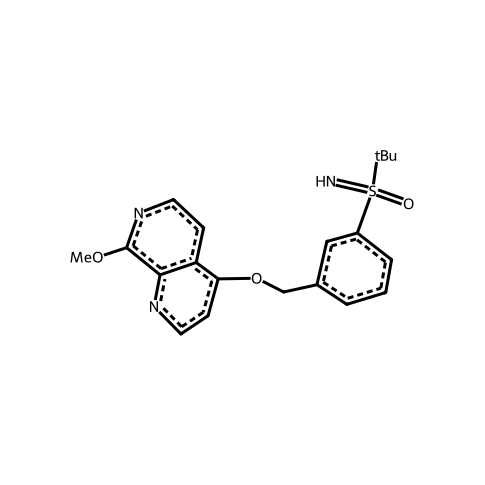 COc1nccc2c(OCc3cccc(S(=N)(=O)C(C)(C)C)c3)ccnc12